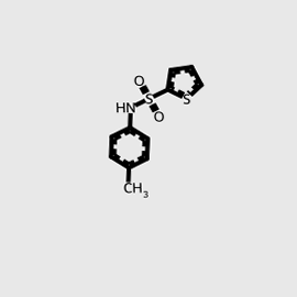 Cc1ccc(NS(=O)(=O)c2cccs2)cc1